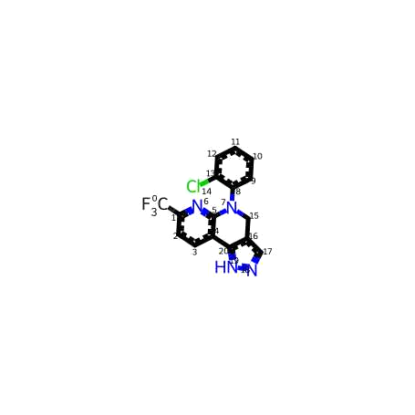 FC(F)(F)c1ccc2c(n1)N(c1ccccc1Cl)Cc1cn[nH]c1-2